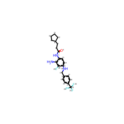 Nc1c(NC(=O)CCC2CCCC2)ccc(NCc2ccc(C(F)(F)F)cc2)c1F